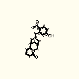 O=c1cccc2n1CC1CC2CN(Cc2cc(O)ccc2[N+](=O)[O-])C1